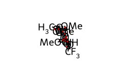 COc1ccc(S(=O)(=O)N(CC(=O)NS(=O)(=O)c2ccc(C(F)(F)F)cc2)c2cccc3c2CCN3C(C(=O)NS(=O)(=O)c2ccc(C)cc2OC)c2cccc(OC)c2)cc1